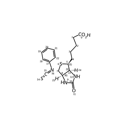 O=C(O)CCCC[C@@H]1SC[C@@H]2NC(=O)N[C@@H]21.S=C=Nc1ccccc1